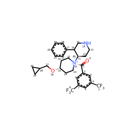 O=C(c1cc(C(F)(F)F)cc(C(F)(F)F)c1)[N@+]1([C@@H]2CCNCC2c2ccccc2)CC[C@H](OCC2CC2)CC1